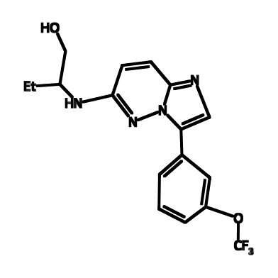 CCC(CO)Nc1ccc2ncc(-c3cccc(OC(F)(F)F)c3)n2n1